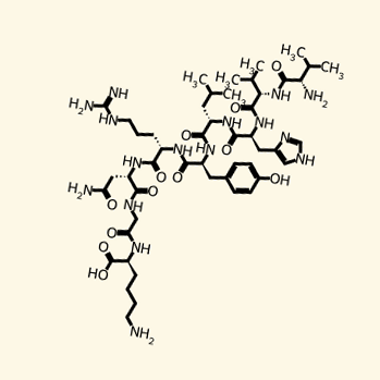 CC(C)C[C@H](NC(=O)[C@H](Cc1c[nH]cn1)NC(=O)[C@@H](NC(=O)[C@@H](N)C(C)C)C(C)C)C(=O)N[C@@H](Cc1ccc(O)cc1)C(=O)N[C@@H](CCCNC(=N)N)C(=O)N[C@@H](CC(N)=O)C(=O)NCC(=O)N[C@@H](CCCCN)C(=O)O